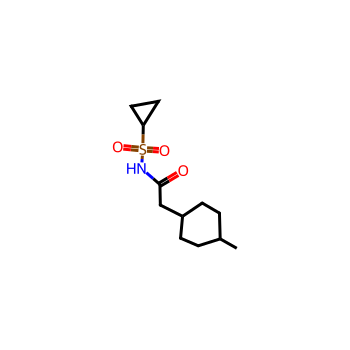 CC1CCC(CC(=O)NS(=O)(=O)C2CC2)CC1